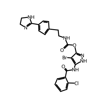 O=C(NCCc1ccc(C2=NCCN2)cc1)Oc1n[nH]c(NC(=O)c2ccccc2Cl)c1Br